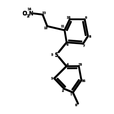 Cc1ccc(Sc2ccccc2CC[N+](=O)[O-])cc1